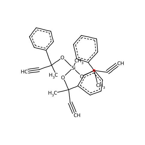 C#CC(C)(O[Si](C)(OC(C)(C#C)c1ccccc1)OC(C)(C#C)c1ccccc1)c1ccccc1